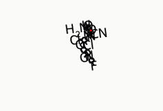 N#CC(=NNc1cc(Cl)c(Oc2ccc3c(c2)CCN(c2ccc(F)cc2)C3=O)c(Cl)c1)C(=O)OC(N)=O